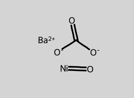 O=C([O-])[O-].[Ba+2].[O]=[Ni]